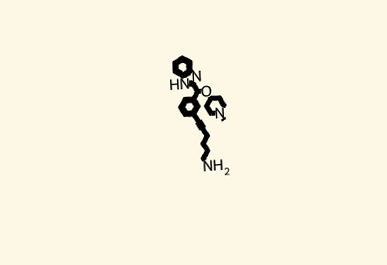 CN1CCC(OC(c2cccc(C#CCCCCN)c2)c2nc3ccccc3[nH]2)CC1